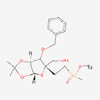 CCOP(C)(=O)CC[C@@]1(CO)O[C@@H]2OC(C)(C)O[C@H]2C1OCc1ccccc1